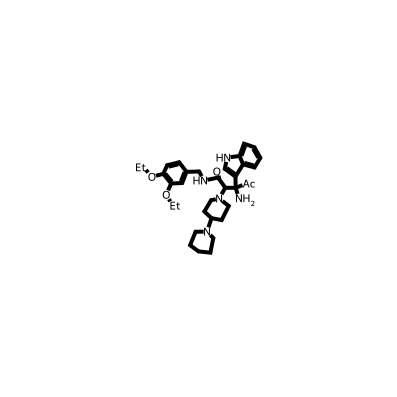 CCOc1ccc(CNC(=O)C(N2CCC(N3CCCCC3)CC2)C(N)(C(C)=O)c2c[nH]c3ccccc23)cc1OCC